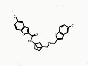 O=C(NC12CCC(CNCc3cc4cc(Cl)ccc4o3)(C1)C2)c1cc2cc(Cl)ccc2o1